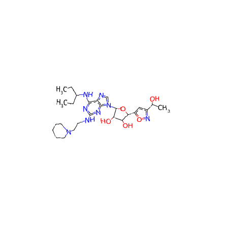 CCC(CC)Nc1nc(NCCN2CCCCC2)nc2c1ncn2C1OC(c2cc(C(C)O)no2)C(O)C1O